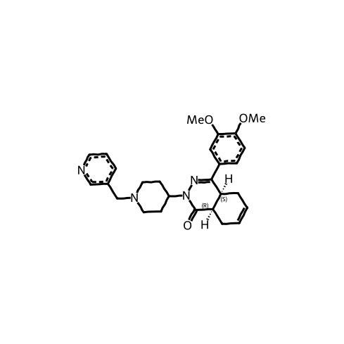 COc1ccc(C2=NN(C3CCN(Cc4cccnc4)CC3)C(=O)[C@@H]3CC=CC[C@H]23)cc1OC